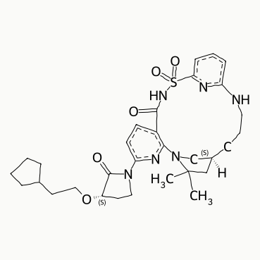 CC1(C)C[C@@H]2CCCNc3cccc(n3)S(=O)(=O)NC(=O)c3ccc(N4CC[C@H](OCCC5CCCC5)C4=O)nc3N1C2